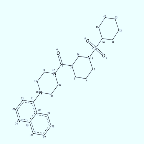 O=C(C1CCCN(S(=O)(=O)C2CCCCC2)C1)N1CCN(c2ccnc3ccccc23)CC1